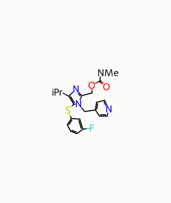 CNC(=O)OCc1nc(C(C)C)c(Sc2cccc(F)c2)n1Cc1ccncc1